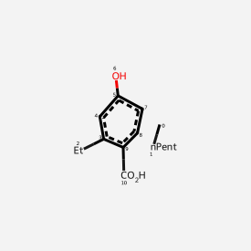 CCCCCC.CCc1cc(O)ccc1C(=O)O